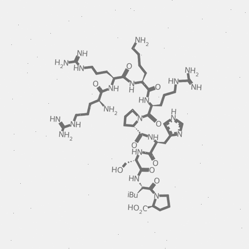 CC[C@H](C)[C@H](NC(=O)[C@H](CO)NC(=O)[C@H](Cc1c[nH]cn1)NC(=O)[C@@H]1CCCN1C(=O)[C@H](CCCNC(=N)N)NC(=O)[C@H](CCCCN)NC(=O)[C@H](CCCNC(=N)N)NC(=O)[C@@H](N)CCCNC(=N)N)C(=O)N1CCC[C@H]1C(=O)O